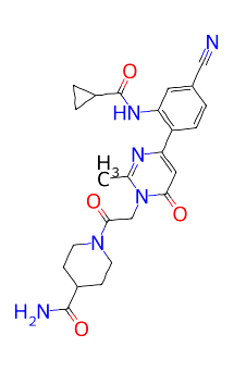 Cc1nc(-c2ccc(C#N)cc2NC(=O)C2CC2)cc(=O)n1CC(=O)N1CCC(C(N)=O)CC1